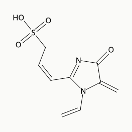 C=CN1C(=C)C(=O)N=C1/C=C\CS(=O)(=O)O